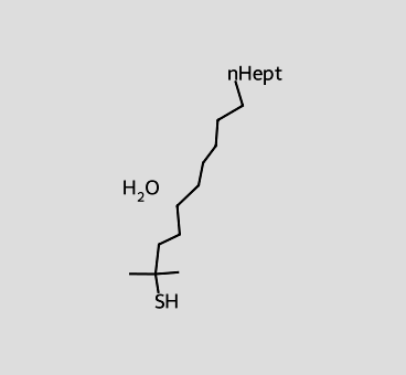 CCCCCCCCCCCCCCCC(C)(C)S.O